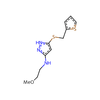 COCCNc1cc(SCc2cccs2)[nH]n1